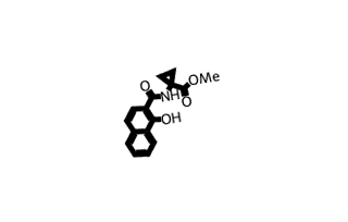 COC(=O)C1(NC(=O)c2ccc3ccccc3c2O)CC1